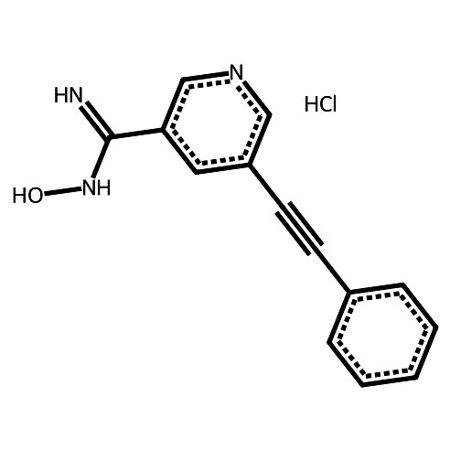 Cl.N=C(NO)c1cncc(C#Cc2ccccc2)c1